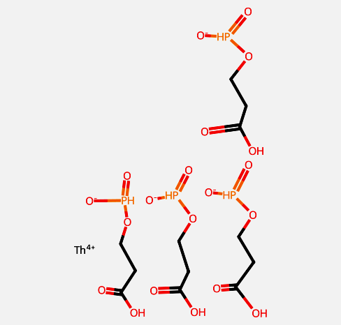 O=C(O)CCO[PH](=O)[O-].O=C(O)CCO[PH](=O)[O-].O=C(O)CCO[PH](=O)[O-].O=C(O)CCO[PH](=O)[O-].[Th+4]